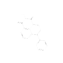 CN1C(=O)c2cccc3c2C(CC=C3c2ccccc2)C1=O